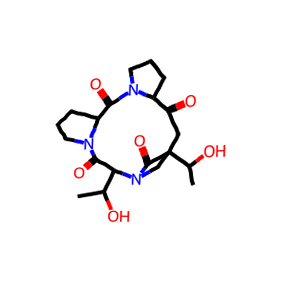 CC(O)C1C(=O)N2CCCC2C(=O)N2CCCC2C(=O)CC2(C(C)O)CN1C2=O